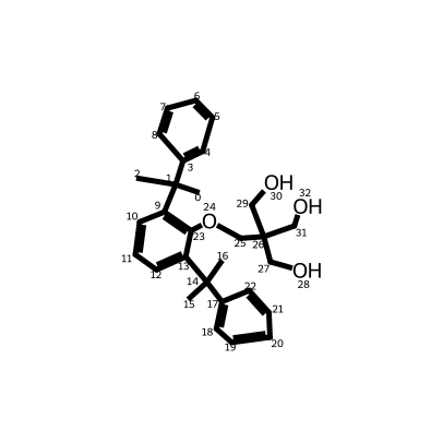 CC(C)(c1ccccc1)c1cccc(C(C)(C)c2ccccc2)c1OCC(CO)(CO)CO